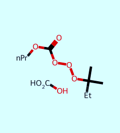 CCCOC(=O)OOOC(C)(C)CC.O=C(O)O